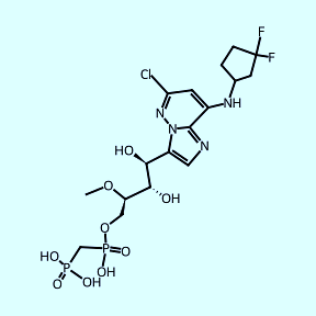 CO[C@H](COP(=O)(O)CP(=O)(O)O)[C@@H](O)[C@@H](O)c1cnc2c(NC3CCC(F)(F)C3)cc(Cl)nn12